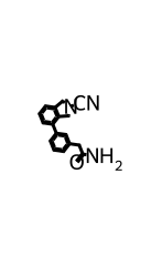 N#CN1Cc2cccc(-c3cccc(CC(N)=O)c3)c2C1